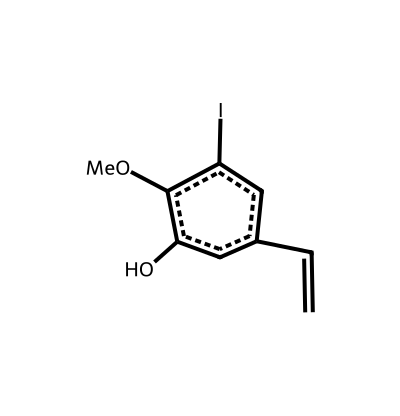 C=Cc1cc(O)c(OC)c(I)c1